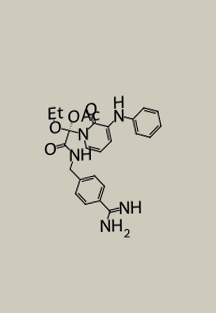 CCO[C@](OC(C)=O)(C(=O)NCc1ccc(C(=N)N)cc1)n1cccc(Nc2ccccc2)c1=O